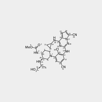 COC(=O)N[C@@H]1CCN(c2cc(C#N)cc(Nc3nc(NC4CC4)c4ncc(C#N)n4n3)c2Cl)C[C@H]1N[C@@H](C)C(=O)O